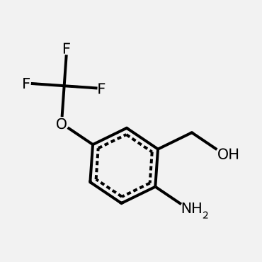 Nc1ccc(OC(F)(F)F)cc1CO